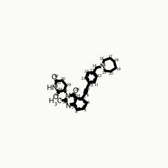 Cc1nc2cccc(C#Cc3ccc(CN4CCCCCC4)cc3)c2c(=O)n1C1CCC(=O)NC1=O